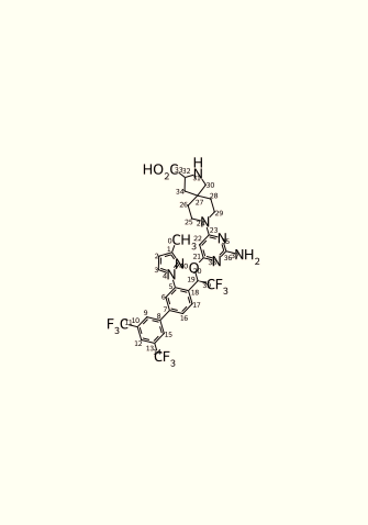 Cc1ccn(-c2cc(-c3cc(C(F)(F)F)cc(C(F)(F)F)c3)ccc2[C@@H](Oc2cc(N3CCC4(CC3)CNC(C(=O)O)C4)nc(N)n2)C(F)(F)F)n1